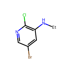 CCNc1cc(Br)cnc1Cl